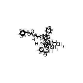 CCCC[C@@H](NC(=O)[C@H](CCCCNC(=O)OCc1ccccc1)NC(=O)N1CCOCC1)P(=O)(OC)OC(C)C(=O)N1CCC[C@H]1C(=O)O